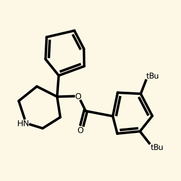 CC(C)(C)c1cc(C(=O)OC2(c3ccccc3)CCNCC2)cc(C(C)(C)C)c1